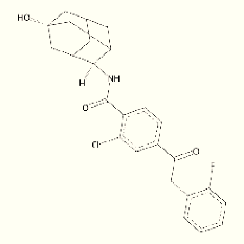 O=C(Cc1ccccc1F)c1ccc(C(=O)N[C@H]2C3CC4CC2C[C@](O)(C4)C3)c(Cl)c1